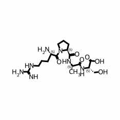 C[C@H](NC(=O)[C@@H]1CCCN1C(=O)[C@@H](N)CCCNC(=N)N)C(=O)N[C@@H](CO)C(=O)O